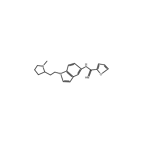 CN1CCCC1CCn1ccc2cc(NC(=N)c3ccco3)ccc21